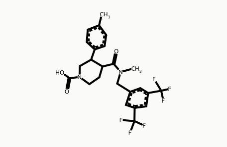 Cc1ccc(C2CN(C(=O)O)CCC2C(=O)N(C)Cc2cc(C(F)(F)F)cc(C(F)(F)F)c2)cc1